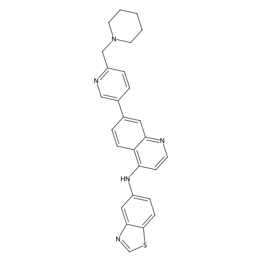 c1cc(Nc2ccc3scnc3c2)c2ccc(-c3ccc(CN4CCCCC4)nc3)cc2n1